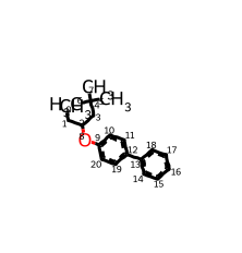 CCC(CC(C)(C)C)Oc1ccc(-c2ccccc2)cc1